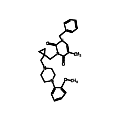 COc1ccccc1N1CCN(CC2(Cn3c(=O)c(C)cn(Cc4ccccc4)c3=O)CC2)CC1